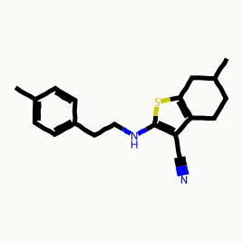 Cc1ccc(CCNc2sc3c(c2C#N)CCC(C)C3)cc1